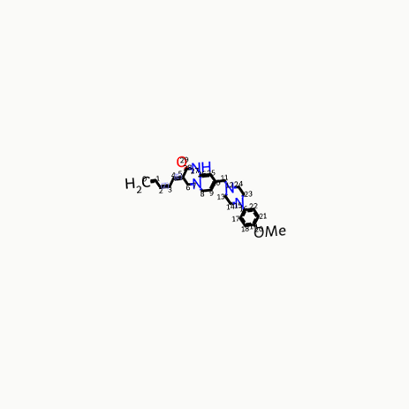 C=C/C=C\C=C1/CN2CC=C(CN3CCN(c4ccc(OC)cc4)CC3)C=C2NC1=O